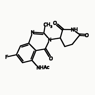 CC(=O)Nc1cc(F)cc2nc(C)n(C3CCC(=O)NC3=O)c(=O)c12